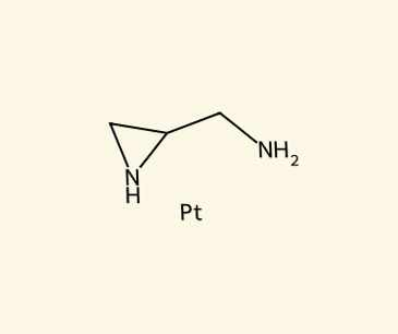 NCC1CN1.[Pt]